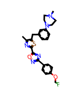 Cc1nc(-c2nc(-c3ccc(OCF)cc3)no2)sc1Cc1cccc(N2CCN(C)CC2)c1